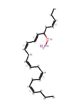 CC/C=C\CC(/C=C/C=C\C/C=C\C/C=C\C/C=C\CCC)OP